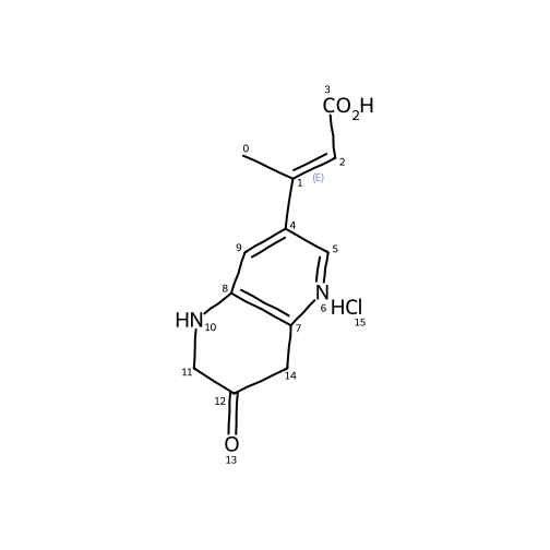 C/C(=C\C(=O)O)c1cnc2c(c1)NCC(=O)C2.Cl